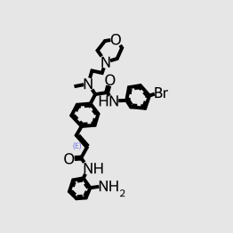 CN(CCN1CCOCC1)C(C(=O)Nc1ccc(Br)cc1)c1ccc(/C=C/C(=O)Nc2ccccc2N)cc1